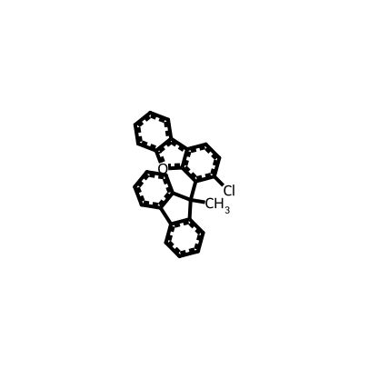 CC1(c2c(Cl)ccc3c2oc2ccccc23)c2ccccc2-c2ccccc21